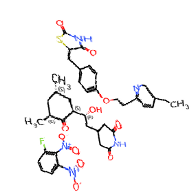 CCc1ccc(CCOc2ccc(CC3SC(=O)NC3=O)cc2)nc1.C[C@@H]1C[C@@H]([C@H](O)CC2CC(=O)NC(=O)C2)C(=O)[C@@H](C)C1.O=[N+]([O-])c1cccc(F)c1[N+](=O)[O-]